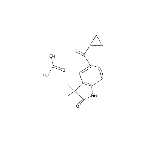 CC1(C)C(=O)Nc2ccc(C(=O)C3CC3)cc21.O=C(O)O